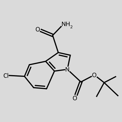 CC(C)(C)OC(=O)n1cc(C(N)=O)c2cc(Cl)ccc21